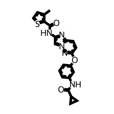 Cc1ccsc1C(=O)Nc1cn2nc(Oc3cccc(NC(=O)C4CC4)c3)ccc2n1